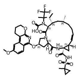 CC[C@@H]1C[C@H](C)CCC=C[C@@H]2C[C@@]2(C(=O)NS(=O)(=O)C2(C)CC2)NC(=O)[C@@H]2C[C@@H](Oc3nc4c(c5cc(OC)ccc35)CCCO4)CN2C(=O)[C@H]1N(C(=O)O)C(C)(C)C(F)(F)F